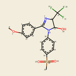 COc1ccc(C2=NC(C(F)(F)F)C(O)N2c2ccc(S(C)(=O)=O)cc2)cc1